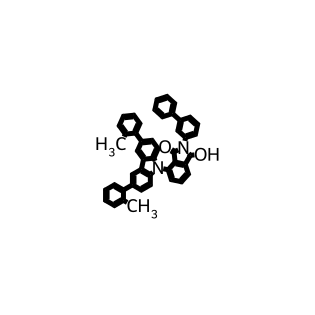 Cc1ccccc1-c1ccc2c(c1)c1cc(-c3ccccc3C)ccc1n2-c1cccc2c1C(=O)N(c1cccc(-c3ccccc3)c1)C2O